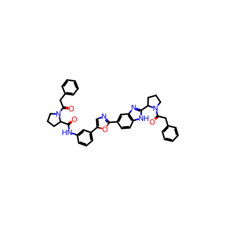 O=C(Nc1cccc(-c2cnc(-c3ccc4[nH]c(C5CCCN5C(=O)Cc5ccccc5)nc4c3)o2)c1)C1CCCN1C(=O)Cc1ccccc1